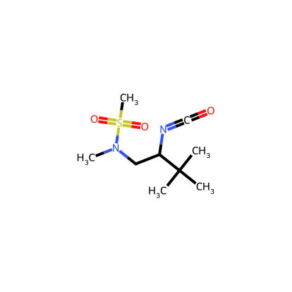 CN(CC(N=C=O)C(C)(C)C)S(C)(=O)=O